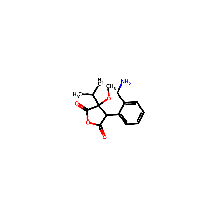 COC1(C(C)C)C(=O)OC(=O)C1c1ccccc1CN